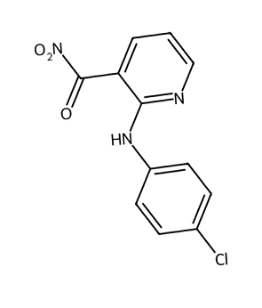 O=C(c1cccnc1Nc1ccc(Cl)cc1)[N+](=O)[O-]